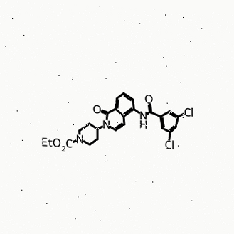 CCOC(=O)N1CCC(n2ccc3c(NC(=O)c4cc(Cl)cc(Cl)c4)cccc3c2=O)CC1